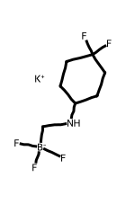 F[B-](F)(F)CNC1CCC(F)(F)CC1.[K+]